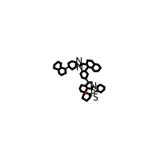 S=P(c1ccccc1)(c1ccccc1)c1ncc(-c2ccc3c(c2)c2c4ccccc4ccc2c2nc4ccc(-c5cccc6ccccc56)cc4n32)c2ccccc12